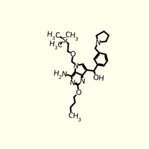 CCCCOc1nc(N)c2c(n1)c(C(O)c1cccc(CN3CCCC3)c1)cn2COCC[Si](C)(C)C